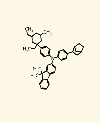 CCC1CC(C)CC(CC)(c2ccc(N(c3ccc(C4CC5CCC4C5)cc3)c3ccc4c(c3)C(C)(C)c3ccccc3-4)cc2)C1